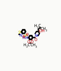 CC(C)CC1(O)CCN(C(=O)c2ccc(NS(=O)(=O)c3cccc4scnc34)c3c2OC(C)(C)O3)CC1